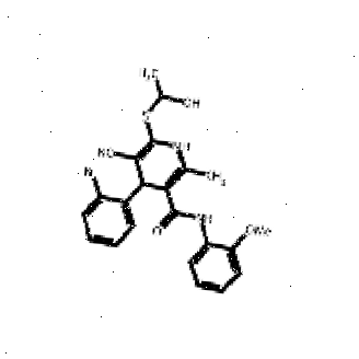 COc1ccccc1NC(=O)C1=C(C)NC(SC(C)O)=C(C#N)C1c1ccccc1Br